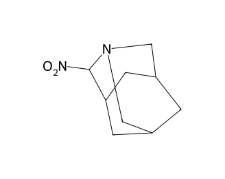 O=[N+]([O-])C1C2CC3CC(C2)CN1C3